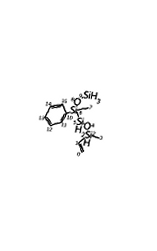 C=C[SiH](C)O[SiH2][Si](C)(O[SiH3])c1ccccc1